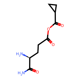 NC(=O)[C@@H](N)CCC(=O)OC(=O)C1CC1